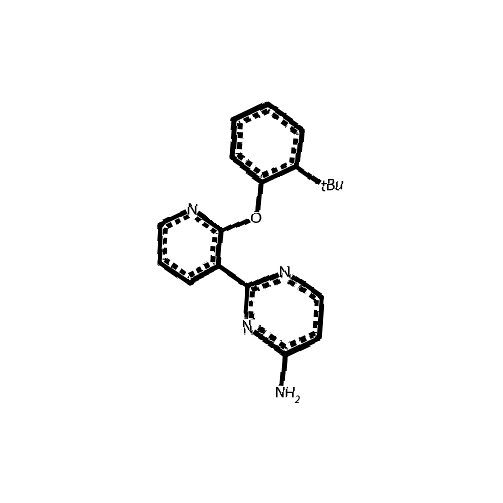 CC(C)(C)c1ccccc1Oc1ncccc1-c1nccc(N)n1